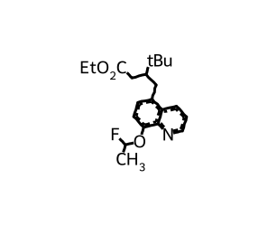 CCOC(=O)CC(Cc1ccc(OC(C)F)c2ncccc12)C(C)(C)C